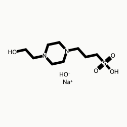 O=S(=O)(O)CCCN1CCN(CCO)CC1.[Na+].[OH-]